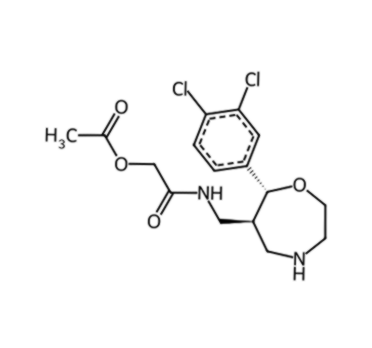 CC(=O)OCC(=O)NC[C@@H]1CNCCO[C@H]1c1ccc(Cl)c(Cl)c1